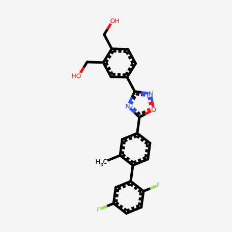 Cc1cc(-c2nc(-c3ccc(CO)c(CO)c3)no2)ccc1-c1cc(F)ccc1F